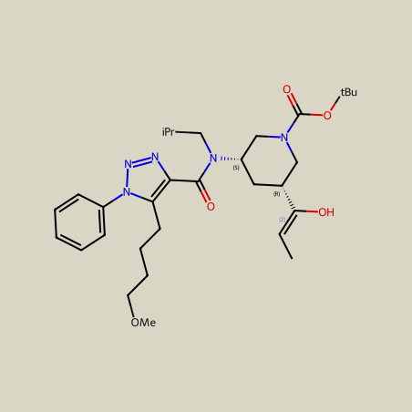 C/C=C(\O)[C@@H]1C[C@H](N(CC(C)C)C(=O)c2nnn(-c3ccccc3)c2CCCCOC)CN(C(=O)OC(C)(C)C)C1